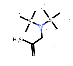 C=C([SiH3])CN([Si](C)(C)C)[Si](C)(C)C